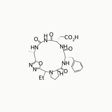 CCC1c2nnc(o2)[C@H](C)NC(=O)NC(=O)[C@H](CC(=O)O)NC(=O)[C@H](Cc2ccccc2)NC(=O)[C@@H]2CCCN12